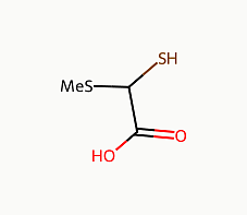 CSC(S)C(=O)O